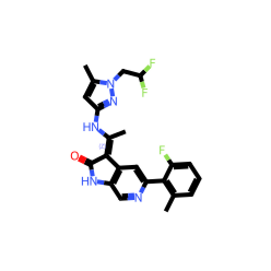 C/C(Nc1cc(C)n(CC(F)F)n1)=C1/C(=O)Nc2cnc(-c3c(C)cccc3F)cc21